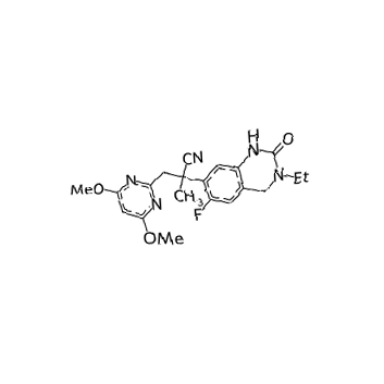 CCN1Cc2cc(F)c(C(C)(C#N)Cc3nc(OC)cc(OC)n3)cc2NC1=O